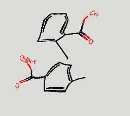 Cc1ccc(C(=O)O)cc1.Cc1ccccc1C(=O)O